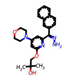 CC(C)(O)COc1cc(N2CCOCC2)cc(C(=NN)c2ccc3ccccc3c2)n1